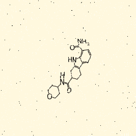 NC(=O)c1cccc2c3c([nH]c12)CC(C(=O)NC1CCOCC1)CC3